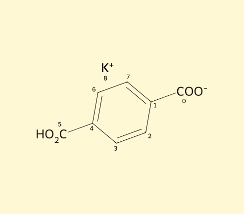 O=C([O-])c1ccc(C(=O)O)cc1.[K+]